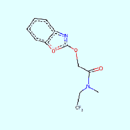 CN(CC(F)(F)F)C(=O)COc1nc2ccccc2o1